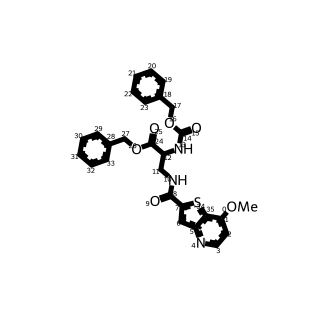 COc1ccnc2cc(C(=O)NCC(NC(=O)OCc3ccccc3)C(=O)OCc3ccccc3)sc12